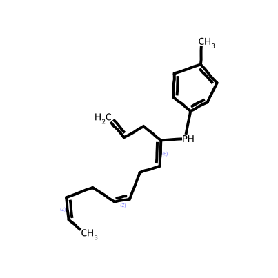 C=CC/C(=C\C/C=C\C/C=C\C)Pc1ccc(C)cc1